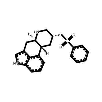 O=S(=O)(C[C@H]1CN[C@@H]2Cc3c[nH]c4cccc(c34)[C@H]2C1)c1ccccc1